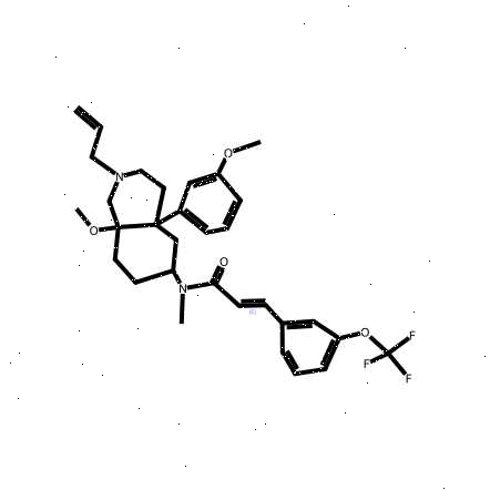 C=CCN1CCC2(c3cccc(OC)c3)CC(N(C)C(=O)/C=C/c3cccc(OC(F)(F)F)c3)CCC2(OC)C1